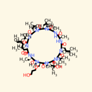 C/C=C/C[C@@H](C)[C@@H](O)[C@H]1C(=O)N[C@@H](CC)C(=O)N(C)[C@H](COCCCO)C(=O)N(C)[C@@H](CC(C)(C)O)C(=O)N[C@H](C(C)C)C(=O)N(C)[C@H](CCC(C)C)C(=O)N[C@H](C)C(=O)N[C@@H](C)C(=O)N(C)[C@@H](CC(C)C)C(=O)N(C)[C@@H](CC(C)C)C(=O)N(C)[C@@H](C(C)C)C(=O)N1C